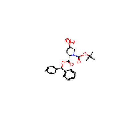 CC(C)(C)OC(=O)N1CC(O)C[C@H]1C(=O)OC(c1ccccc1)c1ccccc1